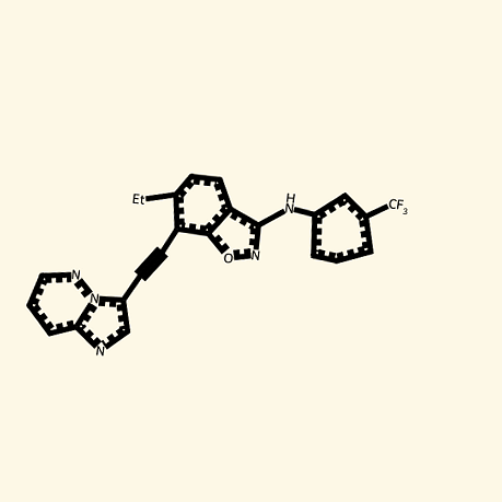 CCc1ccc2c(Nc3cccc(C(F)(F)F)c3)noc2c1C#Cc1cnc2cccnn12